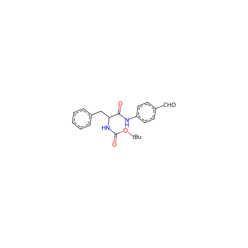 CC(C)(C)OC(=O)NC(Cc1ccccc1)C(=O)Nc1ccc(C=O)cc1